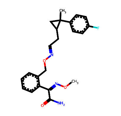 CON=C(C(N)=O)c1ccccc1CON=CCC1CC1(C)c1ccc(F)cc1